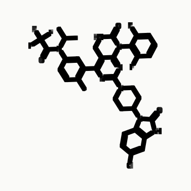 Cc1ccc(N(C(=O)C(F)(F)F)C(C)C)cc1-c1nc(N2CCC(n3c(=O)[nH]c4cc(Cl)ccc43)CC2)nc2c1CNC(=O)N2c1c(F)cccc1F